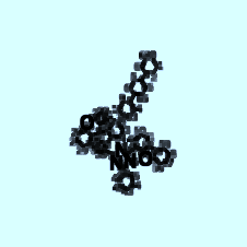 c1ccc(-c2ccc(-c3ccc(-c4ccc5c(c4)C4(c6ccccc6Oc6ccccc64)c4cccc(-c6nc(-c7ccccc7)nc(-c7cccc8c7oc7ccccc78)n6)c4-5)cc3)cc2)cc1